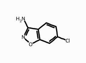 Nc1noc2cc(Cl)ccc12